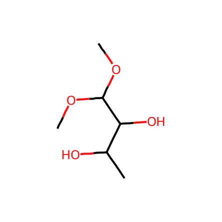 COC(OC)C(O)C(C)O